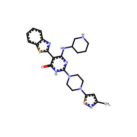 Cc1cc(N2CCN(c3nc(NC4CCCNC4)c(-c4nc5ccccc5s4)c(=O)[nH]3)CC2)sn1